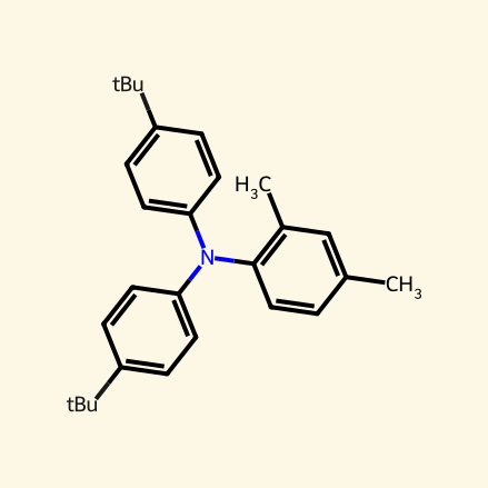 Cc1ccc(N(c2ccc(C(C)(C)C)cc2)c2ccc(C(C)(C)C)cc2)c(C)c1